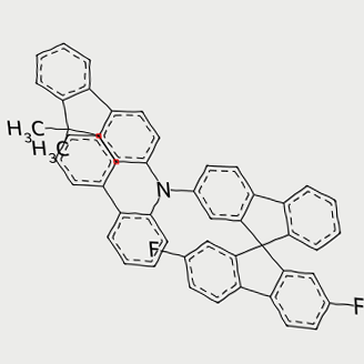 CC1(C)c2ccccc2-c2ccc(N(c3ccc4c(c3)C3(c5ccccc5-4)c4cc(F)ccc4-c4ccc(F)cc43)c3ccccc3-c3ccccc3)cc21